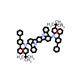 CC(C)(C)c1ccc(N(c2cc(-c3ccccc3)ccc2-c2ccccc2)c2ccc3c4cc5c(cc4n4c6ccccc6c2c34)c2ccc(N(c3ccc(C(C)(C)C)cc3)c3cc(-c4ccccc4)ccc3-c3ccccc3)c3c4ccccc4n5c23)cc1